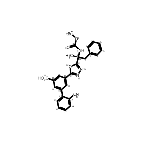 CC(C)(C)OC(=O)N[C@](C)(Cc1ccccc1)c1nnc(-c2cc(C(=O)O)cc(-c3ccccc3C#N)c2)o1